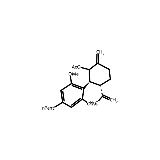 C=C1CC[C@H](C(=C)C)[C@@H](c2c(OC)cc(CCCCC)cc2OC)C1OC(C)=O